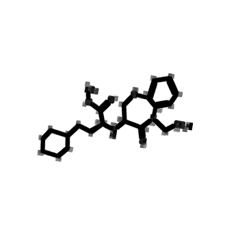 CCCCOC(=O)[C@H](CCC1CCCCC1)NC1COc2ccccc2N(CC(=O)O)C1=O